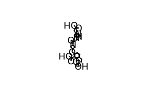 O=C(O)Cc1cn(CC(=O)N2CC(Oc3ccc4c(c3C(=O)O)OB(O)CC4)C2)nn1